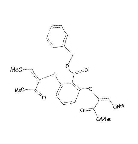 COC=C(Oc1cccc(OC(=COC)C(=O)OC)c1C(=O)OCc1ccccc1)C(=O)OC